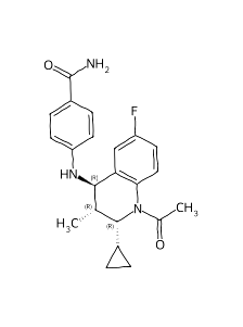 CC(=O)N1c2ccc(F)cc2[C@H](Nc2ccc(C(N)=O)cc2)[C@@H](C)[C@H]1C1CC1